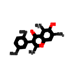 COc1ccc(OC)c(-c2c(C)oc3cc([N+](=O)[O-])c(O)c([N+](=O)[O-])c3c2=O)c1